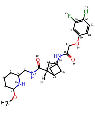 COC1CCCC(CNC(=O)[C@@H]2CC3(NC(=O)COc4ccc(Cl)c(F)c4)CC2C3)N1